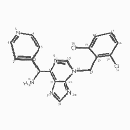 NC(c1ccncc1)c1ncn(Cc2c(Cl)cccc2Cl)c2ncnc1-2